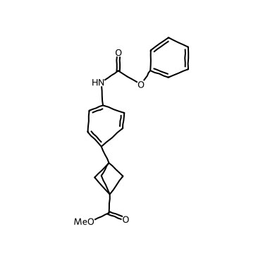 COC(=O)C12CC(c3ccc(NC(=O)Oc4ccccc4)cc3)(C1)C2